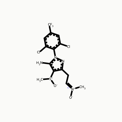 C/[N+]([O-])=C\Cc1nn(-c2c(Cl)cc(C(F)(F)F)cc2Cl)c(N)c1[S+](C)[O-]